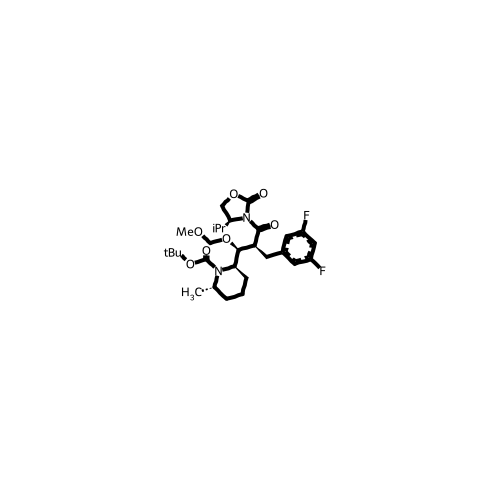 COCO[C@@H]([C@H](Cc1cc(F)cc(F)c1)C(=O)N1C(=O)OC[C@@H]1C(C)C)[C@H]1CCC[C@H](C)N1C(=O)OC(C)(C)C